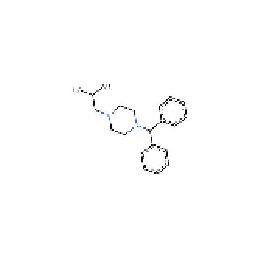 CC(C)CN1CCN(C(c2ccccc2)c2ccccc2)CC1